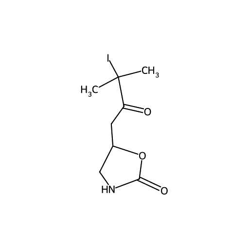 CC(C)(I)C(=O)CC1CNC(=O)O1